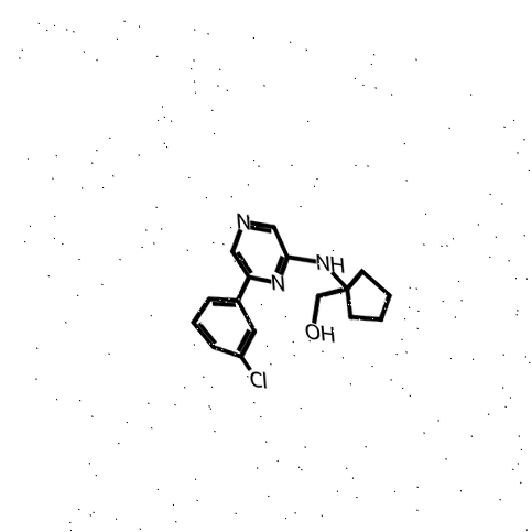 OCC1(Nc2cncc(-c3cccc(Cl)c3)n2)CCCC1